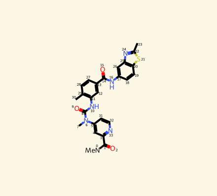 CNC(=O)c1cc(N(C)C(=O)Nc2cc(C(=O)Nc3ccc4sc(C)nc4c3)ccc2C)ccn1